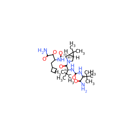 CC(C)(C)[C@H](NC(=O)N[C@H](C(=O)N1C[C@H]2[C@@H]([C@H]1C(=O)NC(CC1CCC1)C(=O)C(N)=O)C2(C)C)C(C)(C)C)C(N)=O